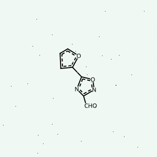 O=Cc1noc(-c2ccco2)n1